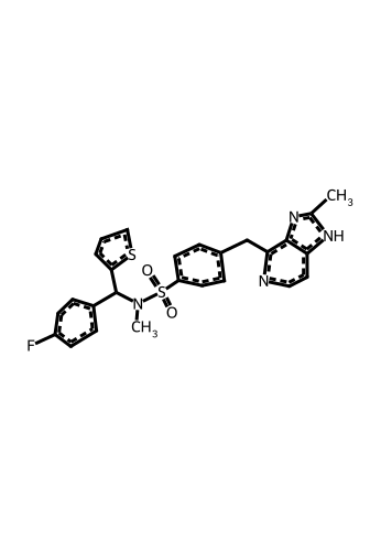 Cc1nc2c(Cc3ccc(S(=O)(=O)N(C)C(c4ccc(F)cc4)c4cccs4)cc3)nccc2[nH]1